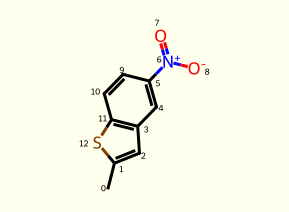 Cc1cc2cc([N+](=O)[O-])ccc2s1